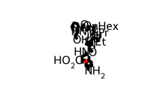 CCCCCCN(C(=O)[C@@H](NC(=O)[C@H]1CCCCN1CCO)[C@@H](C)CC)[C@H](C[C@@H](OCC)c1nc(C(=O)N[C@@H](Cc2ccc(N)cc2)CC(C)(C)C(=O)O)cs1)C(C)C